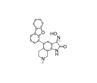 CN1CCc2c(-c3cccc4c3oc3ccccc34)cc3c(c2C1)NC(=O)/C3=N/O